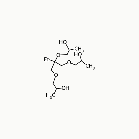 CCC(COCC(C)O)(COCC(C)O)OCC(C)O